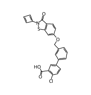 O=C(O)c1cc(-c2cccc(COc3ccc4c(=O)n(C5=CC=C5)sc4c3)c2)ccc1Cl